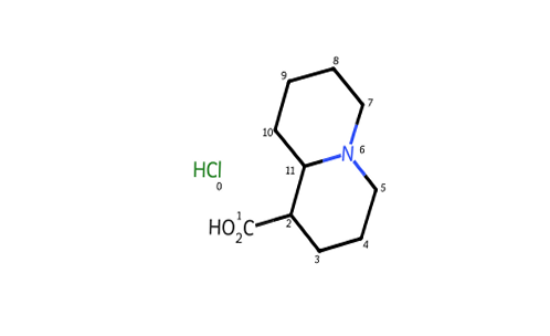 Cl.O=C(O)C1CCCN2CCCCC12